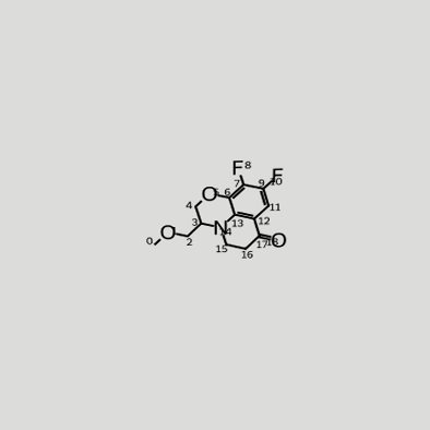 COCC1COc2c(F)c(F)cc3c2N1CCC3=O